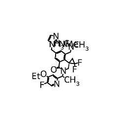 CCOc1cc([C@H](C)N2C[C@]3(CC3(F)F)c3c(CN(C)C)cc(Cn4ccnc4NC)cc3C2=O)ncc1F